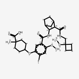 COc1cc(F)c(OC2CCC(C)(C(=O)O)CC2)cc1C(=O)NC1C2CCC(C2)C1C(=O)NCC1(OC)CCC1